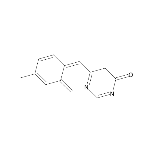 C=c1cc(C)cc/c1=C/C1=NC=NC(=O)C1